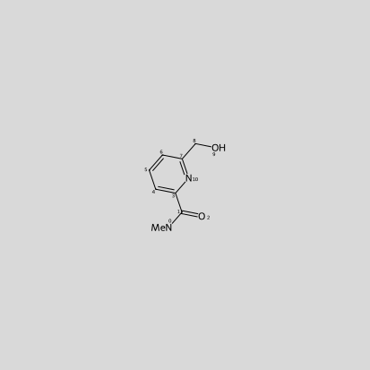 CNC(=O)c1cccc(CO)n1